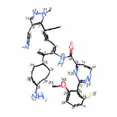 C=C(/C(=C\C=C(/C)c1c(C#N)cnn1C)NC(=O)c1ccnc(-c2c(F)cccc2OC)n1)[C@H]1CC[C@@H](N)CC1